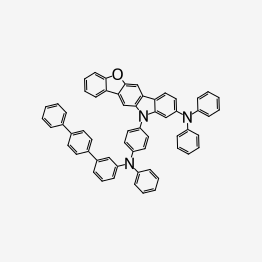 c1ccc(-c2ccc(-c3cccc(N(c4ccccc4)c4ccc(-n5c6cc(N(c7ccccc7)c7ccccc7)ccc6c6cc7oc8ccccc8c7cc65)cc4)c3)cc2)cc1